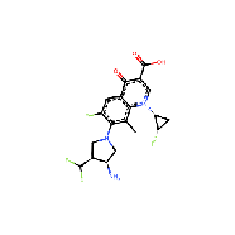 Cc1c(N2C[C@@H](N)[C@@H](C(F)F)C2)c(F)cc2c(=O)c(C(=O)O)cn([C@@H]3C[C@@H]3F)c12